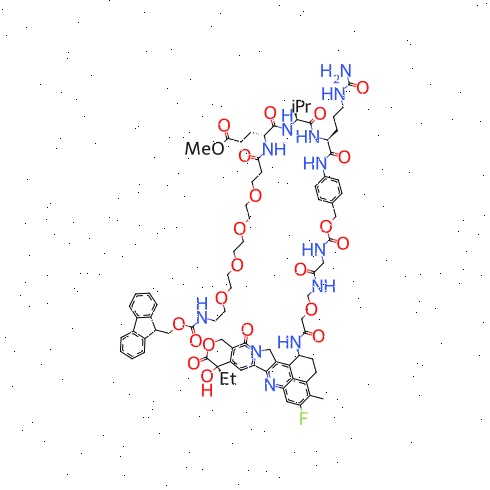 CC[C@@]1(O)C(=O)OCc2c1cc1n(c2=O)Cc2c-1nc1cc(F)c(C)c3c1c2[C@@H](NC(=O)COCNC(=O)CNC(=O)OCc1ccc(NC(=O)[C@H](CCCNC(N)=O)NC(=O)[C@@H](NC(=O)[C@@H](CCC(=O)OC)NC(=O)CCOCCOCCOCCOCCNC(=O)OCC2c4ccccc4-c4ccccc42)C(C)C)cc1)CC3